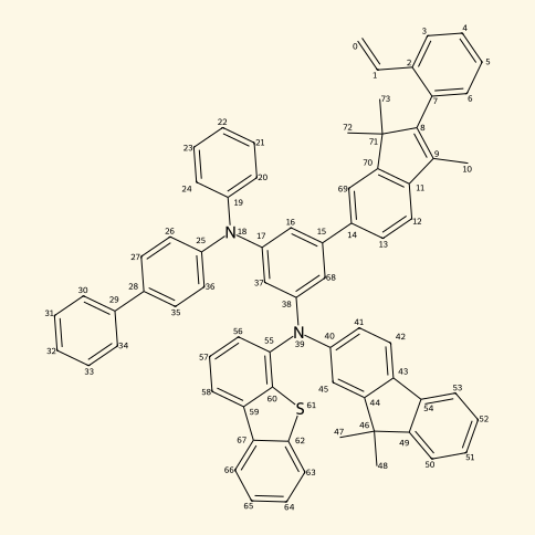 C=Cc1ccccc1C1=C(C)c2ccc(-c3cc(N(c4ccccc4)c4ccc(-c5ccccc5)cc4)cc(N(c4ccc5c(c4)C(C)(C)c4ccccc4-5)c4cccc5c4sc4ccccc45)c3)cc2C1(C)C